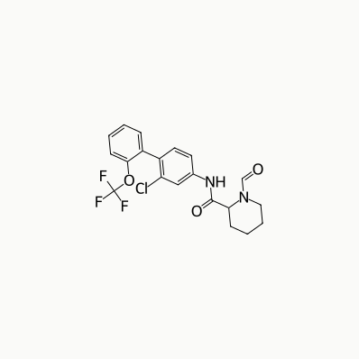 O=CN1CCCCC1C(=O)Nc1ccc(-c2ccccc2OC(F)(F)F)c(Cl)c1